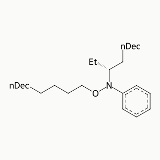 [CH2]C[C@H](CCCCCCCCCCC)N(OCCCCCCCCCCCCCC)c1ccccc1